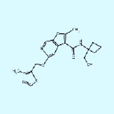 Cc1ncsc1COc1cc2c(C(=O)NC3(CO)CCC3)c(C)oc2cn1